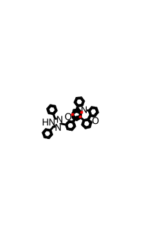 c1ccc(C2=NC(c3cccc4c3oc3cccc(-c5cccc6oc7cccc(-n8c9ccccc9c9ccccc98)c7c56)c34)=NC(c3ccccc3)N2)cc1